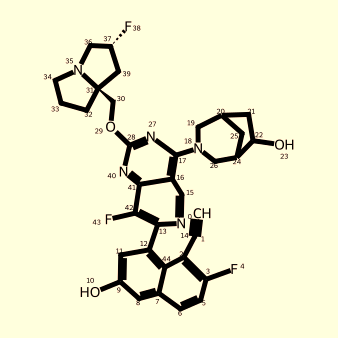 C#Cc1c(F)ccc2cc(O)cc(-c3ncc4c(N5CC6CC(O)C(C6)C5)nc(OC[C@@]56CCCN5C[C@H](F)C6)nc4c3F)c12